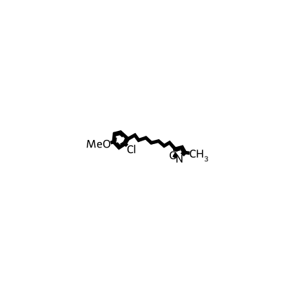 COc1ccc(CCCCCCCc2cc(C)no2)c(Cl)c1